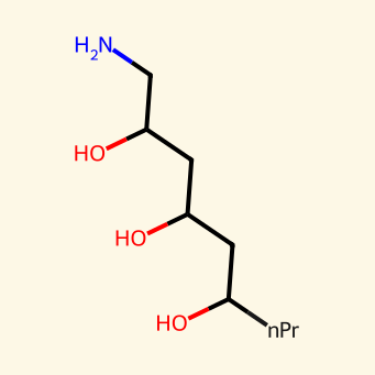 CCCC(O)CC(O)CC(O)CN